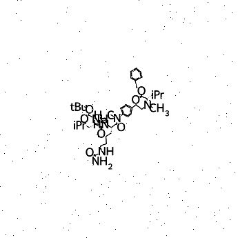 CC(C)C[C@H](NC(=O)OC(C)(C)C)C(=O)N[C@@H](CCCCNC(N)=O)C(=O)N(C)c1ccc(CCN(C)[C@H](C(=O)OCc2ccccc2)C(C)C)cc1